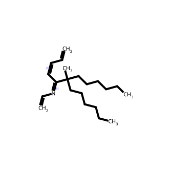 C=C/C=C\C(=N/C=C)C(C)(CCCCCC)CCCCCC